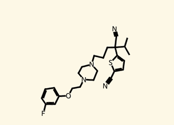 CC(C)C(C#N)(CCCN1CCN(CCOc2cccc(F)c2)CC1)c1ccc(C#N)s1